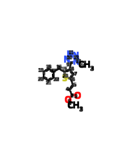 COC(=O)C=Cc1cc(-c2nnnn2C)c(Cc2ccccc2)s1